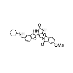 COc1ccc2c(c1)C(=O)N(C[C@@]1(c3cc4cc(CNC5CCCCC5)ccc4o3)NC(=O)NC1=O)C2